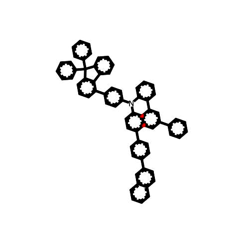 c1ccc(-c2cccc(-c3ccccc3N(c3ccc(-c4ccc(-c5ccc6ccccc6c5)cc4)cc3)c3ccc(-c4cccc5c4-c4ccccc4C5(c4ccccc4)c4ccccc4)cc3)c2)cc1